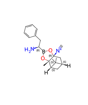 C#[N+][C@@]12C[C@@H]3C[C@@H](C3(C)C)[C@]1(C)OB([C@@H](N)Cc1ccccc1)O2